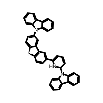 C1=CC(n2c3ccccc3c3ccccc32)NC(c2ccc3sc4ccc(-n5c6ccccc6c6ccccc65)cc4c3c2)=C1